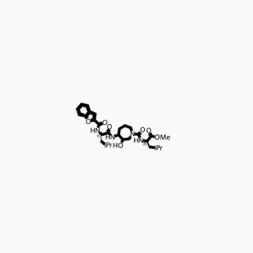 COC(=O)[C@@H](CC(C)C)NC(=O)N1CCCC(NC(=O)[C@H](CC(C)C)NC(=O)c2cc3ccccc3o2)C(O)C1